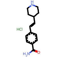 Cl.NC(=O)c1ccc(/C=C/C2CCNCC2)cc1